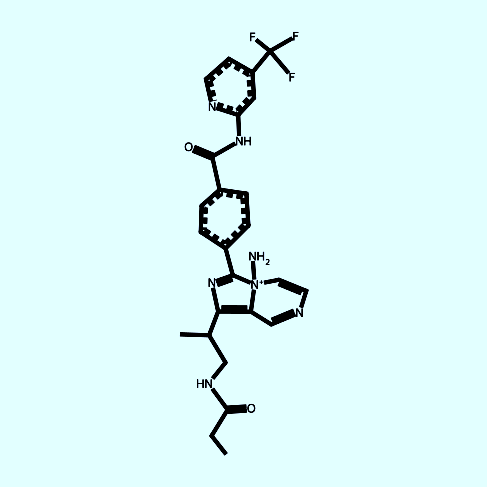 CCC(=O)NCC(C)C1=C2C=NC=C[N+]2(N)C(c2ccc(C(=O)Nc3cc(C(F)(F)F)ccn3)cc2)=N1